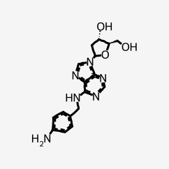 Nc1ccc(CNc2ncnc3c2ncn3C2C[C@H](O)[C@@H](CO)O2)cc1